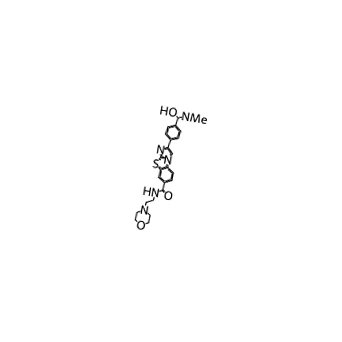 CNC(O)c1ccc(-c2cn3c(n2)sc2cc(C(=O)NCCN4CCOCC4)ccc23)cc1